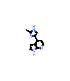 Cc1nc(-c2ccnc3[nH]ccc23)c[nH]1